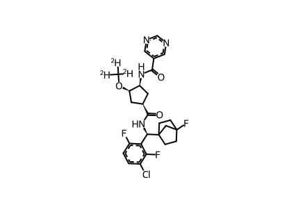 [2H]C([2H])([2H])O[C@@H]1C[C@H](C(=O)N[C@H](c2c(F)ccc(Cl)c2F)C23CCC(F)(CC2)C3)C[C@@H]1NC(=O)c1cncnc1